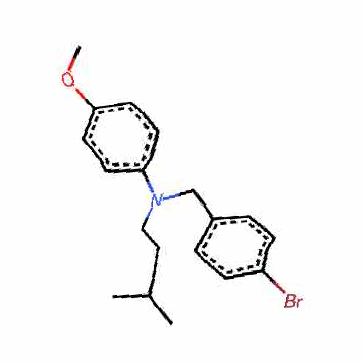 COc1ccc(N(CCC(C)C)Cc2ccc(Br)cc2)cc1